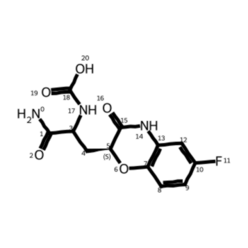 NC(=O)C(C[C@@H]1Oc2ccc(F)cc2NC1=O)NC(=O)O